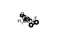 CS(=O)(=O)N(Cc1ccco1)CC(O)Cn1c2ccccc2c2cccc(F)c21